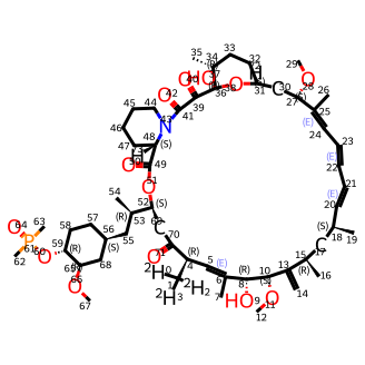 [2H]C([2H])([2H])[C@@H]1/C=C(\C)[C@@H](O)[C@@H](OC)C(=C)[C@H](C)C[C@H](C)/C=C/C=C/C=C(\C)[C@@H](OC)C[C@@H]2CC[C@@H](C)[C@@](O)(O2)C(=O)C(=O)N2CCCC[C@H]2C(=O)O[C@H]([C@H](C)C[C@@H]2CC[C@@H](OP(C)(C)=O)[C@H](OC)C2)CC1=O